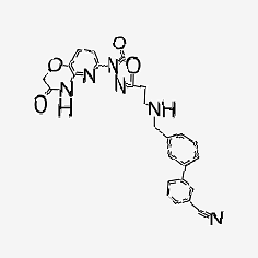 N#Cc1cccc(-c2cccc(CNCCc3nn(-c4ccc5c(n4)NC(=O)CO5)c(=O)o3)c2)c1